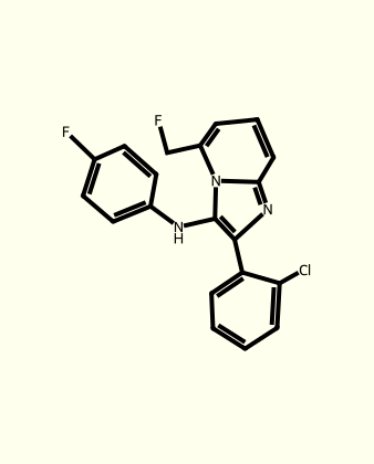 FCc1cccc2nc(-c3ccccc3Cl)c(Nc3ccc(F)cc3)n12